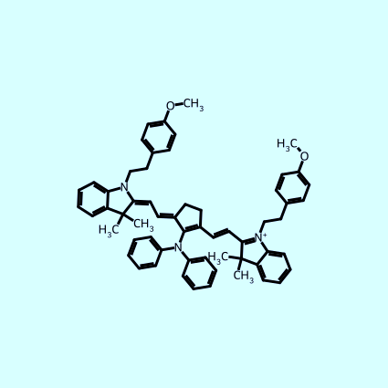 COc1ccc(CCN2/C(=C/C=C3\CCC(/C=C/C4=[N+](CCc5ccc(OC)cc5)c5ccccc5C4(C)C)=C3N(c3ccccc3)c3ccccc3)C(C)(C)c3ccccc32)cc1